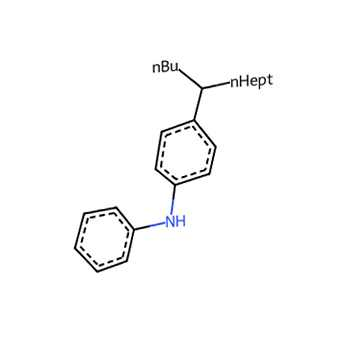 CCCCCCCC(CCCC)c1ccc(Nc2ccccc2)cc1